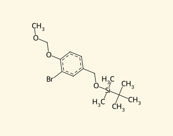 COCOc1ccc(CO[Si](C)(C)C(C)(C)C)cc1Br